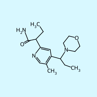 CCC(C(N)=O)c1cc(C(CC)N2CCOCC2)c(C)cn1